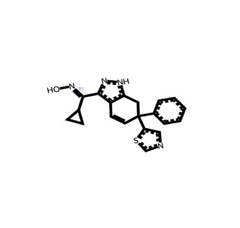 O/N=C(/c1n[nH]c2c1C=CC(c1ccccc1)(c1cncs1)C2)C1CC1